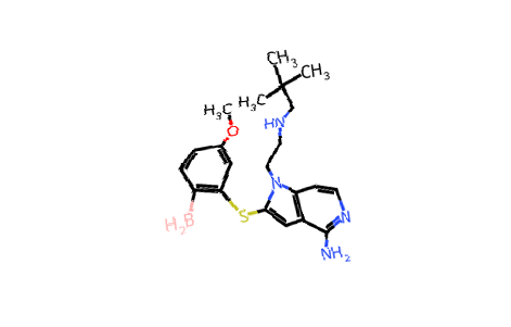 Bc1ccc(OC)cc1Sc1cc2c(N)nccc2n1CCNCC(C)(C)C